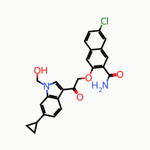 NC(=O)c1cc2cc(Cl)ccc2cc1OCC(=O)c1cn(CO)c2cc(C3CC3)ccc12